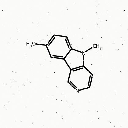 Cc1ccc2c(c1)c1cnccc1n2C